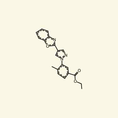 CCOC(=O)c1ccc(C)c(-n2cc(-c3nc4ccccc4o3)cn2)c1